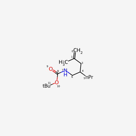 C=C(C)CC(CCC)CNC(=O)OC(C)(C)C